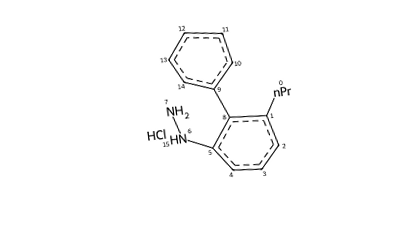 CCCc1cccc(NN)c1-c1ccccc1.Cl